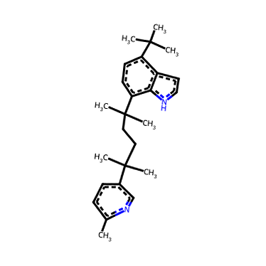 Cc1ccc(C(C)(C)CCC(C)(C)c2ccc(C(C)(C)C)c3cc[nH]c23)cn1